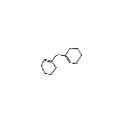 C1=C(OC2=CCCCC2)CCCC1